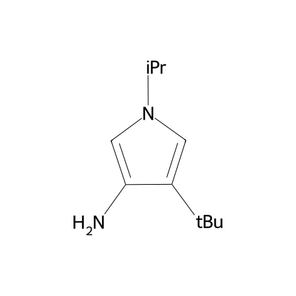 CC(C)n1cc(N)c(C(C)(C)C)c1